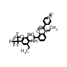 CCc1cc(C(F)(C(F)(F)F)C(F)(F)Cl)cc(Br)c1NC(=O)c1cccc(N(CC)C(=O)c2cc[n+]([O-])cc2)c1OC